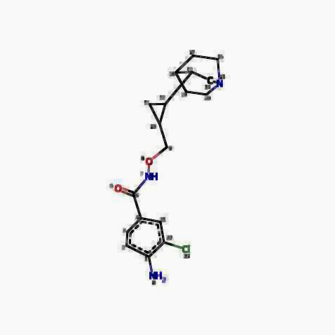 Nc1ccc(C(=O)NOCC2CC2C2CN3CCC2CC3)cc1Cl